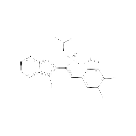 CC(C)OP(=O)(OC(C)C)C(=Cc1ccc(F)c(F)c1)c1sc2ccccc2c1Br